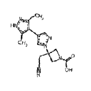 Cc1n[nH]c(C)c1-c1cnn(C2(CC#N)CN(C(=O)O)C2)c1